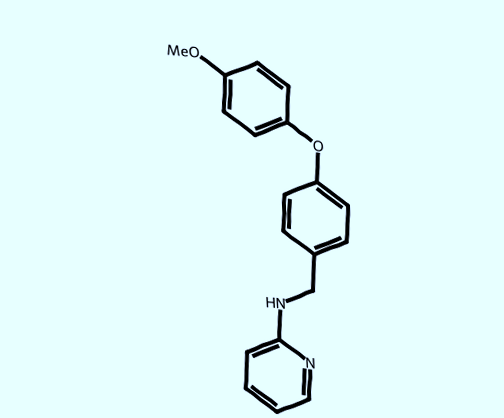 COc1ccc(Oc2ccc(CNc3ccccn3)cc2)cc1